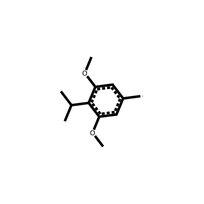 [CH2]c1cc(OC)c(C(C)C)c(OC)c1